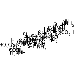 C[C@H](NC(=O)CNC(=O)[C@@H](N)CCCNC(=N)N)C(=O)N[C@@H](CC(=O)O)C(=O)N[C@@H](CCCNC(=N)N)C(=O)N[C@@H](C)C(=O)NCC(=O)NCC(=O)NCC(=O)NCC(=O)N1CCC[C@H]1C(=O)N[C@@H](CCCNC(=N)N)C(=O)N[C@@H](CS)C(=O)N[C@@H](Cc1c[nH]c2ccccc12)C(=O)N[C@@H](CCCNC(=N)N)C(=O)NCC(=O)N[C@@H](CCC(=O)O)C(=O)O